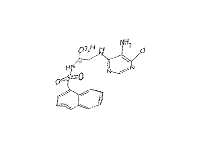 Nc1c(Cl)ncnc1NC[C@H](NS(=O)(=O)c1cccc2ccccc12)C(=O)O